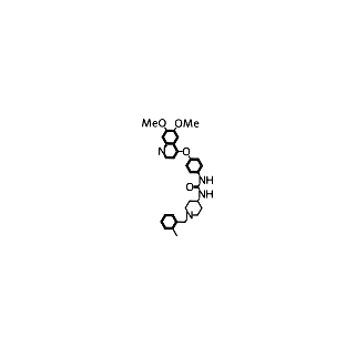 COc1cc2nccc(Oc3ccc(NC(=O)NC4CCN(Cc5ccccc5C)CC4)cc3)c2cc1OC